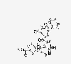 COC(=O)[C@H]1CC[C@H](Nc2ccnc3[nH]cc(C(=O)c4ccc(Oc5ccccc5)cc4Cl)c23)CC1